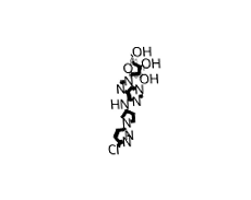 OC[C@H]1O[C@@H](n2cnc3c(NC4CCN(c5ccc(Cl)nn5)C4)ncnc32)[C@H](O)[C@@H]1O